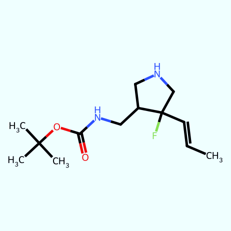 C/C=C/C1(F)CNCC1CNC(=O)OC(C)(C)C